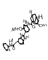 COc1cc(NC(=O)C23C[C@H]4C[C@@H](C2)C[C@](O)(C4)C3)ccc1-c1nc2cc(C(=O)Nc3ccccn3)ccc2[nH]1